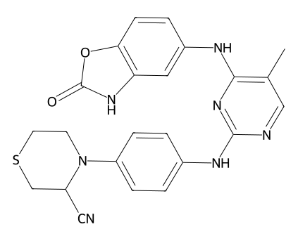 Cc1cnc(Nc2ccc(N3CCSCC3C#N)cc2)nc1Nc1ccc2oc(=O)[nH]c2c1